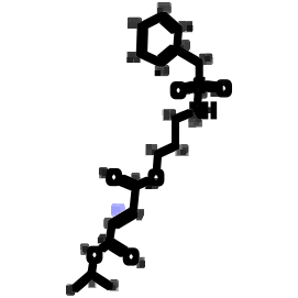 CC(C)OC(=O)/C=C/C(=O)OCCCNS(=O)(=O)Cc1ccccc1